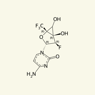 Nc1ccn([C@@H]2O[C@]3(C(F)(F)F)C(O)[C@]3(O)[C@H]2F)c(=O)n1